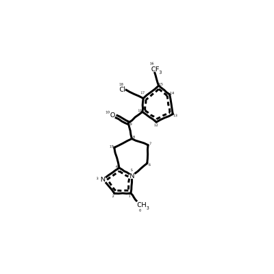 Cc1cnc2n1CCC(C(=O)c1cccc(C(F)(F)F)c1Cl)C2